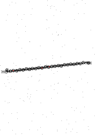 O=CNCCOCCOCCOCCOCCOCCOCCOCCOCCOCCOCCOCCOCCOCCOCCOCCOCCOCCOCCOCCOCCOCCOCCOCCOCCC(=O)O